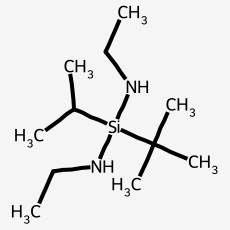 CCN[Si](NCC)(C(C)C)C(C)(C)C